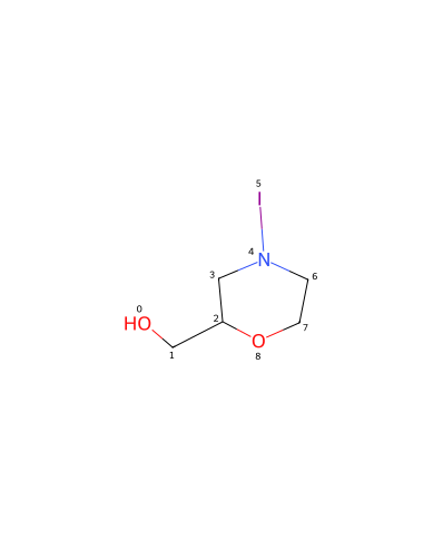 OCC1CN(I)CCO1